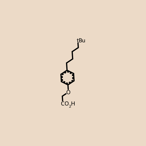 CC(C)(C)CCCCc1ccc(OCC(=O)O)cc1